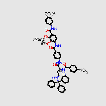 CCCCCOc1c(C(=O)Nc2ccc(C(=O)O)cc2)ccc(NC(=O)c2ccc(NC(=O)[C@H](CCNC(c3ccccc3)(c3ccccc3)c3ccccc3)NC(=O)c3ccc([N+](=O)[O-])cc3)cc2)c1OC(C)C